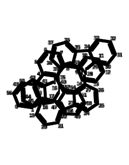 c1ccc(-c2cccc(-c3ccccc3)c2-n2c3ccccc3c3cccc(-n4c5ccccc5c5cccc(-n6c7ccccc7c7ccccc76)c54)c32)cc1